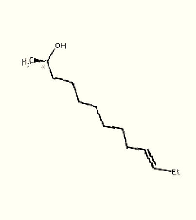 CCC=CCCCCCCC[C@@H](C)O